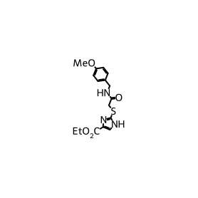 CCOC(=O)c1c[nH]c(SCC(=O)NCc2ccc(OC)cc2)n1